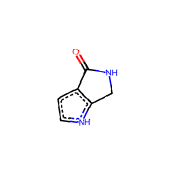 O=C1NCc2[nH]ccc21